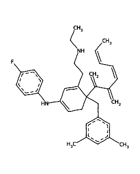 C=C(/C=C\C=C/C)C(=C)C1(Cc2cc(C)cc(C)c2)CC=C(Nc2ccc(F)cc2)C=C1CCNCC